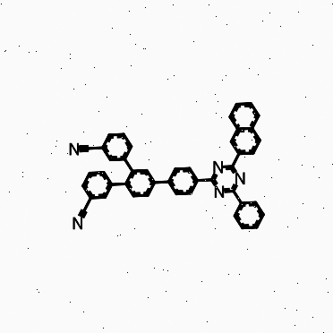 N#Cc1cccc(-c2ccc(-c3ccc(-c4nc(-c5ccccc5)nc(-c5ccc6ccccc6c5)n4)cc3)cc2-c2cccc(C#N)c2)c1